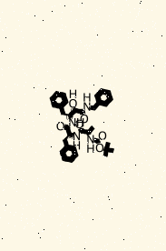 CC(NC(=O)OC(C)(C)C)C(=O)N[C@@H](Cc1ccccc1)C(=O)N[C@@H](Cc1ccccc1)[C@H](O)C(=O)NCc1ccccc1